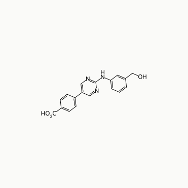 O=C(O)c1ccc(-c2cnc(Nc3cccc(CO)c3)nc2)cc1